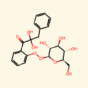 O=C(c1ccccc1OO[C@@H]1O[C@H](CO)[C@@H](O)[C@H](O)[C@H]1O)C(O)(O)Cc1ccccc1